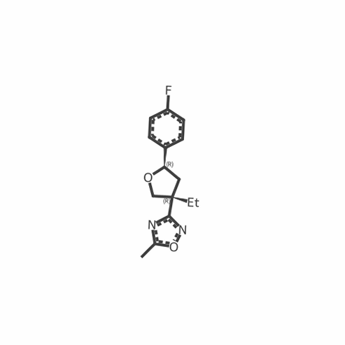 CC[C@@]1(c2noc(C)n2)CO[C@@H](c2ccc(F)cc2)C1